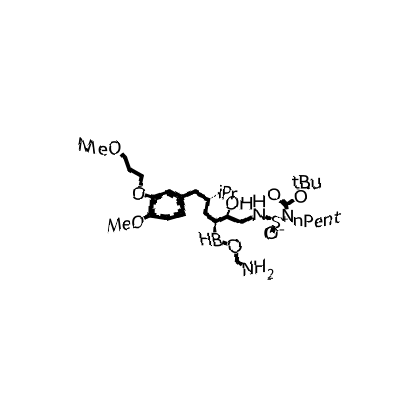 CCCCCN(C(=O)OC(C)(C)C)[S+]([O-])NC[C@H](O)[C@@H](BOCN)C[C@H](Cc1ccc(OC)c(OCCCOC)c1)C(C)C